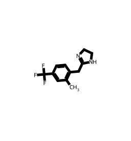 Cc1cc(C(F)(F)F)ccc1CC1=NCCN1